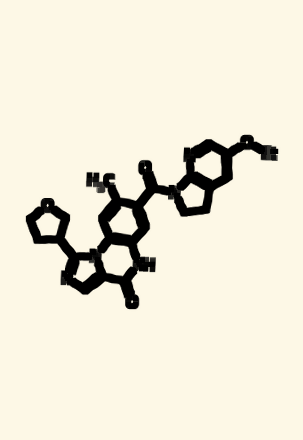 CCOc1cnc2c(c1)CCN2C(=O)c1cc2[nH]c(=O)c3cnc(C4CCOC4)n3c2cc1C